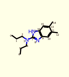 CCCN(CCC)c1nc2cc(C)c(C)cc2[nH]1